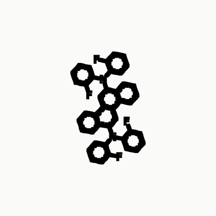 Fc1ccccc1N(c1ccccc1F)c1cc2c3ccccc3c(N(c3ccccc3F)c3ccccc3F)cc2c2ccccc12